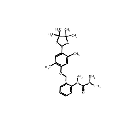 Cc1cc(B2OC(C)(C)C(C)(C)O2)c(C)cc1OCc1ccccc1N(N)C(=O)N(C)N